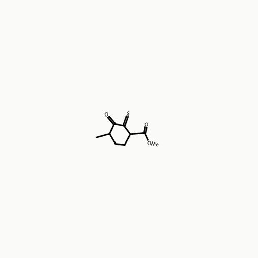 COC(=O)C1CCC(C)C(=O)C1=S